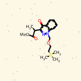 COC(=O)C(C)c1nn(COCCS(C)(C)C)c2ccccc2c1=O